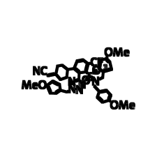 COc1ccc(CN(Cc2ccc(OC)cc2)S(=O)(=O)c2c(C(F)(F)F)ccc(C3CCC(=CC#N)CC3)c2-c2nnn(Cc3ccc(OC)cc3)n2)cc1